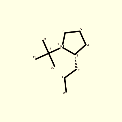 CCC[C@H]1CCCN1C(C)(C)C